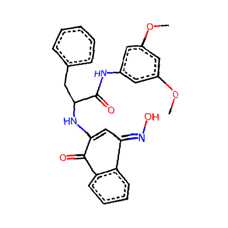 COc1cc(NC(=O)C(Cc2ccccc2)NC2=CC(=NO)c3ccccc3C2=O)cc(OC)c1